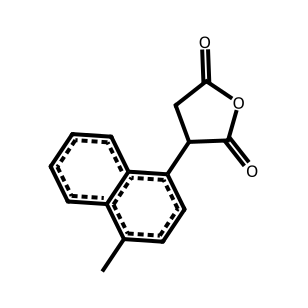 Cc1ccc(C2CC(=O)OC2=O)c2ccccc12